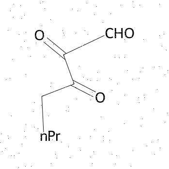 CCCCC(=O)C(=O)C=O